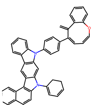 C=C1/C(c2ccc(-n3c4ccccc4c4cc5c6c7ccccc7ccc6n(C6=CC=CCC6)c5cc43)cc2)=C\C=C/Oc2ccccc21